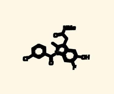 CNC(=O)Cc1c(C)n(C(=O)c2cccc(Cl)c2)c2cc(F)c(O)cc12